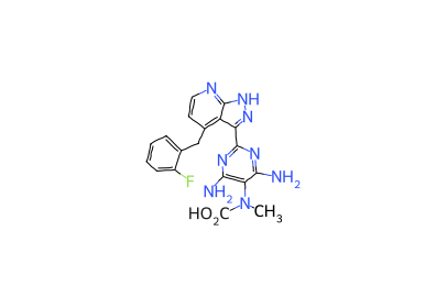 CN(C(=O)O)c1c(N)nc(-c2n[nH]c3nccc(Cc4ccccc4F)c23)nc1N